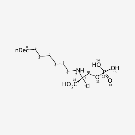 CCCCCCCCCCCCCCCCN[C@@](Cl)(COP(=O)(O)O)C(=O)O